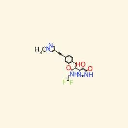 Cn1cc(C#Cc2ccc(CC(C(=O)NCC(F)F)c3nc[nH]c(=O)c3O)cc2)cn1